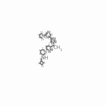 CC(c1ccc(N2CCC[C@@H](NCC3CCC3)C2)nn1)n1cc(-c2cncc(N3CCCC3)n2)nn1